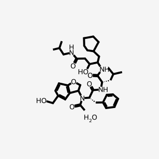 CC(=O)N(C1COc2ccc(CO)cc21)[C@@H](Cc1ccccc1)C(=O)N[C@@H](CC(C)C)C(=O)NC(CC1CCCCC1)C(O)CC(=O)NCC(C)C.O